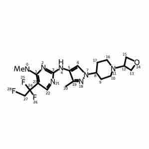 CNc1nc(Nc2cn(C3CCN(C4COC4)CC3)nc2C)ncc1C(F)(F)CF